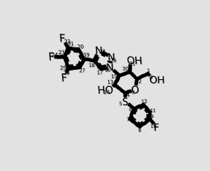 OCC1OC(Sc2ccc(F)cc2)C(O)C(n2cc(-c3cc(F)c(F)c(F)c3)nn2)C1O